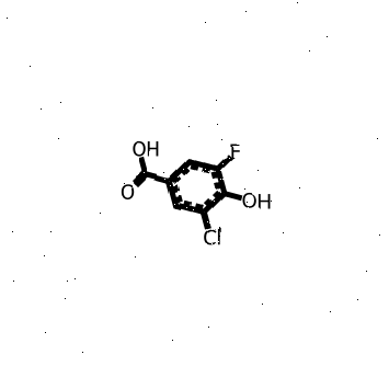 O=C(O)c1cc(F)c(O)c(Cl)c1